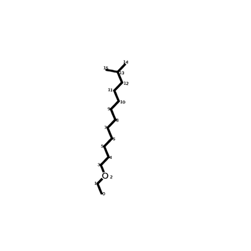 CCOCCCCCCCCCCC(C)C